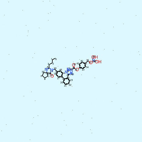 CCCCC1=NC2(CCCC2)C(=O)N1Cc1ccc(-c2ccccc2-c2nnn(C(=O)Oc3ccc(CON(O)O)cc3)n2)cc1